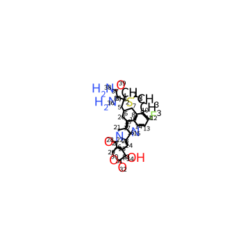 CCSC(C)(CC1Cc2c(C)c(F)cc3nc4c(c(c23)C1)Cn1c-4cc2c(c1=O)COC(=O)[C@H]2O)[C@@H](N)C(N)=O